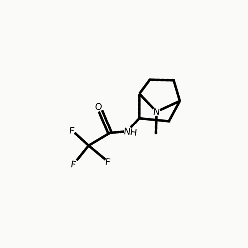 CN1C2CCC1C(NC(=O)C(F)(F)F)C2